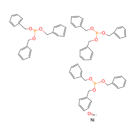 [C]=O.[Ni].c1ccc(COP(OCc2ccccc2)OCc2ccccc2)cc1.c1ccc(COP(OCc2ccccc2)OCc2ccccc2)cc1.c1ccc(COP(OCc2ccccc2)OCc2ccccc2)cc1